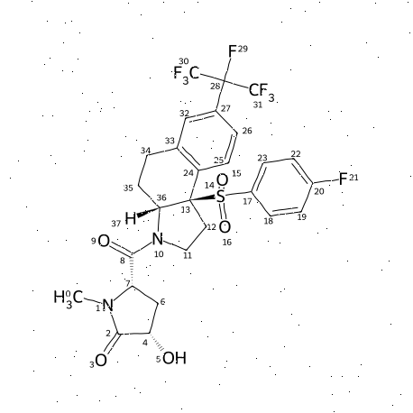 CN1C(=O)[C@@H](O)C[C@H]1C(=O)N1CC[C@@]2(S(=O)(=O)c3ccc(F)cc3)c3ccc(C(F)(C(F)(F)F)C(F)(F)F)cc3CC[C@@H]12